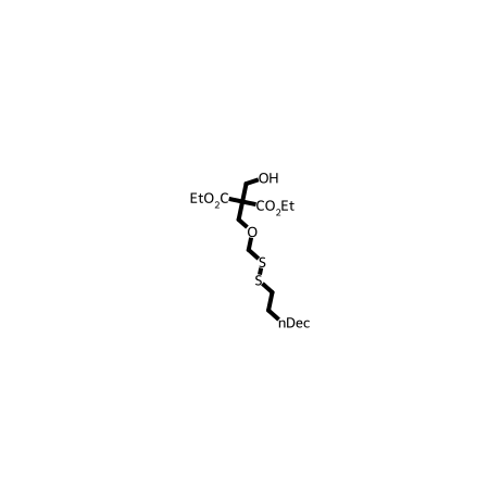 CCCCCCCCCCCCSSCOCC(CO)(C(=O)OCC)C(=O)OCC